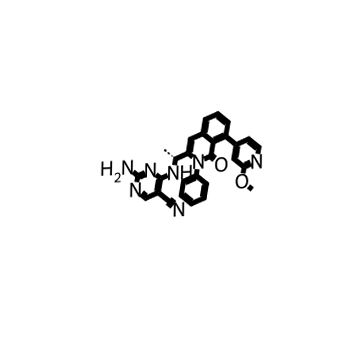 COc1cc(-c2cccc3cc([C@@H](C)Nc4nc(N)ncc4C#N)n(-c4ccccc4)c(=O)c23)ccn1